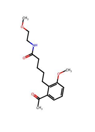 COCCNC(=O)CCCCc1c(OC)cccc1C(C)=O